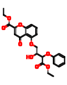 CCOC(=O)c1cc(=O)c2c(OCC(O)C(Oc3ccccc3)C(=O)OCC)cccc2o1